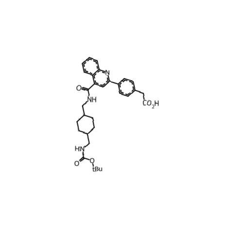 CC(C)(C)OC(=O)NCC1CCC(CNC(=O)c2cc(-c3ccc(CC(=O)O)cc3)nc3ccccc23)CC1